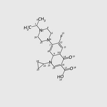 CC(C)N1CCN(C2=CC3C(C=C2F)C(=O)C(C(=O)O)=CN3C2CC2)CC1